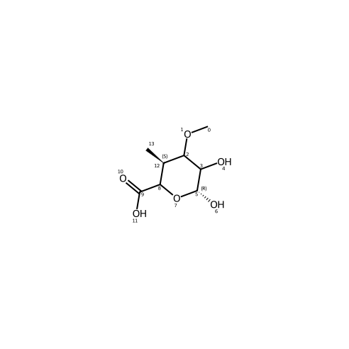 COC1C(O)[C@H](O)OC(C(=O)O)[C@H]1C